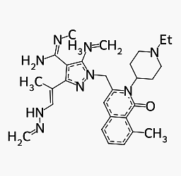 C=NN/C=C(\C)c1nn(Cc2cc3cccc(C)c3c(=O)n2C2CCN(CC)CC2)c(N=C)c1/C(N)=N\C